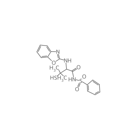 CC(C)(S)C(Nc1nc2ccccc2o1)C(=O)NS(=O)(=O)c1ccccc1